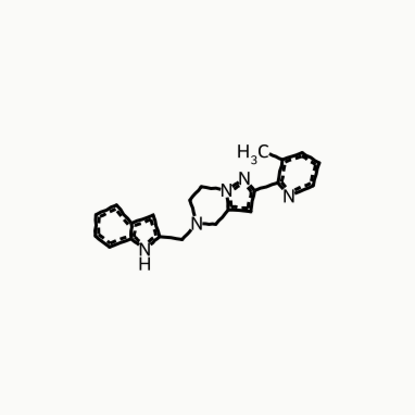 Cc1cccnc1-c1cc2n(n1)CCN(Cc1cc3ccccc3[nH]1)C2